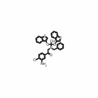 CC(Oc1csc2ccccc12)(Oc1csc2ccccc12)N(CC(=O)c1ccc(Cl)c(N)c1)Cc1ccccc1